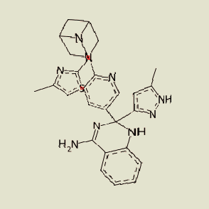 Cc1csc(CN2C3CC2CN(c2ccc(C4(c5cc(C)[nH]n5)N=C(N)c5ccccc5N4)cn2)C3)n1